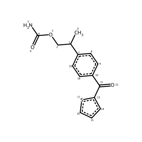 CC(COC(N)=O)c1ccc(C(=O)c2cccs2)cc1